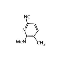 [C-]#[N+]c1ccc(C)c(NC)n1